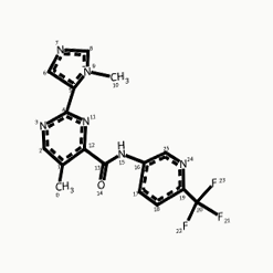 Cc1cnc(-c2cncn2C)nc1C(=O)Nc1ccc(C(F)(F)F)nc1